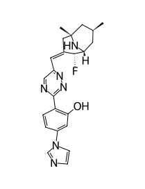 C[C@H]1C[C@H]2N[C@](C)(C/C(=C/c3cnc(-c4ccc(-n5ccnc5)cc4O)nn3)[C@H]2F)C1